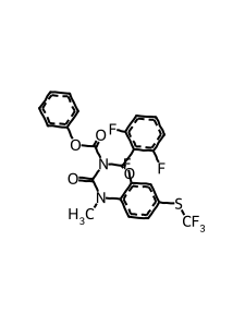 CN(C(=O)N(C(=O)Oc1ccccc1)C(=O)c1c(F)cccc1F)c1ccc(SC(F)(F)F)cc1F